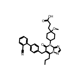 CCCc1c(Cc2ccc(-c3ccccc3C#N)cc2)c(=O)n(C2CCC(CCC(=O)O)(OC)CC2)c2ncnn12